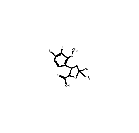 COc1c(C2CC(C)(C)OC2C(=O)O)ccc(F)c1F